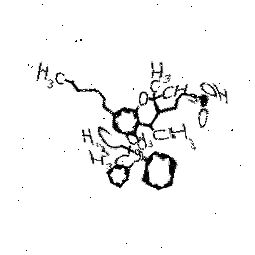 CCCCCc1cc2c(c(O[Si](c3ccccc3)(c3ccccc3)C(C)(C)C)c1)C(C)C(CCC(=O)O)C(C)(C)O2